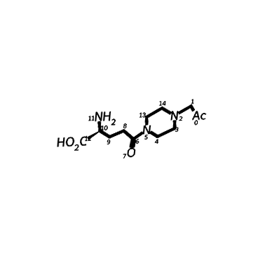 CC(=O)CN1CCN(C(=O)CC[C@H](N)C(=O)O)CC1